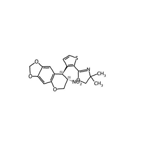 CC1(C)COC(c2sccc2[C@@H]2c3cc4c(cc3OC[C@H]2[N+](=O)[O-])OCO4)=N1